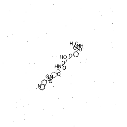 CNS(=O)(=O)c1cccc(OCC(O)COC(=O)N[C@H]2COC3(CCN(S(=O)(=O)c4ccc5ncccc5c4)CC3)C2)c1